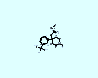 CNC(=O)CC1(c2cccc(C(F)(F)F)c2)CCN(C)CC1